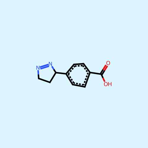 O=C(O)c1ccc(C2CCN=N2)cc1